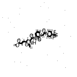 COC(=O)C=CCC[C@H](NC(C)=O)C(=O)Nc1cccn(CC(=O)N2CCC(C(F)(F)F)CC2)c1=O